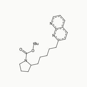 CC(C)(C)OC(=O)N1CCCC1CCCCCc1ccc2cccnc2n1